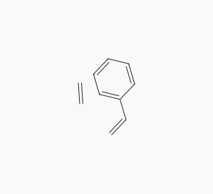 C=C.C=Cc1ccccc1